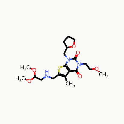 COCCn1c(=O)c2c(C)c(CNCC(OC)OC)sc2n(CC2CCCO2)c1=O